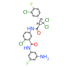 Nc1cc(F)cc(NC(=O)c2cc(NC(=O)[C@H]3[C@H](c4ccc(F)c(Cl)c4)C3(Cl)Cl)ccc2Cl)c1